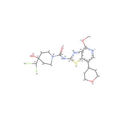 COc1ncc(C2CCOCC2)c2sc(NC(=O)N3CCC(O)(C(F)F)CC3)nc12